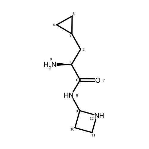 N[C@@H](CC1CC1)C(=O)NC1CCN1